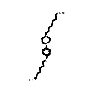 C=CCCCCCOc1ccc(N2CCN(CCCCCCCCCCCCCCCCC)CC2)cc1